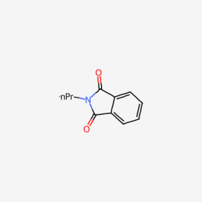 [CH2]C[CH]N1C(=O)c2ccccc2C1=O